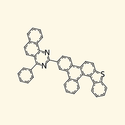 c1ccc(-c2nc(-c3ccc4c(c3)c3ccccc3c3c4ccc4sc5ccccc5c43)nc3c2ccc2ccccc23)cc1